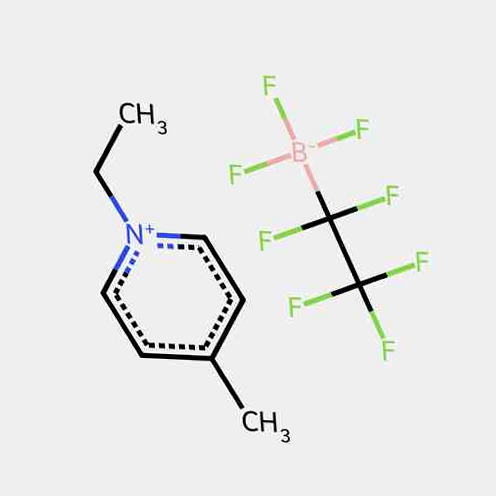 CC[n+]1ccc(C)cc1.F[B-](F)(F)C(F)(F)C(F)(F)F